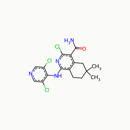 CC1(C)CCc2c(Nc3c(Cl)cncc3Cl)nc(Cl)c(C(N)=O)c2C1